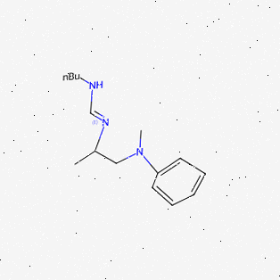 CCCCN/C=N/C(C)CN(C)c1ccccc1